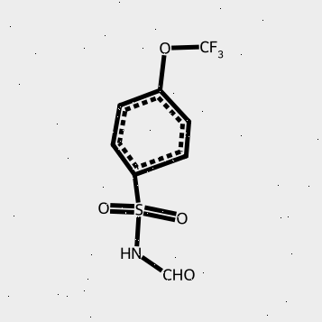 O=CNS(=O)(=O)c1ccc(OC(F)(F)F)cc1